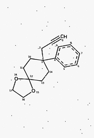 C#CCC1(c2ccccc2)CCC2(CC1)OCCO2